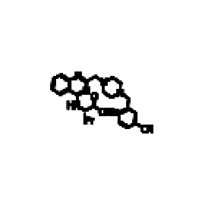 COC(=O)[C@@H](Nc1nc(CN2CCN(Cc3cccc(C#N)c3)CC2)nc2ccccc12)C(C)C